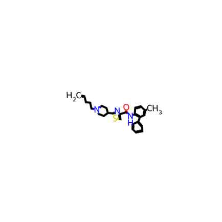 C=CCCCN1CCC(c2nc(C(=O)Nc3ccc(C)cc3-c3ccccc3)cs2)CC1